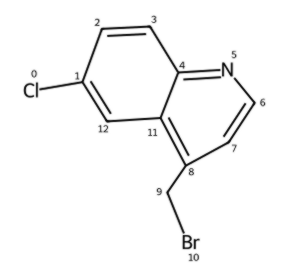 Clc1ccc2nccc(CBr)c2c1